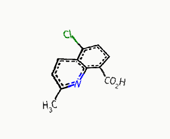 Cc1ccc2c(Cl)ccc(C(=O)O)c2n1